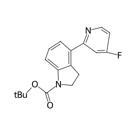 CC(C)(C)OC(=O)N1CCc2c(-c3cc(F)ccn3)cccc21